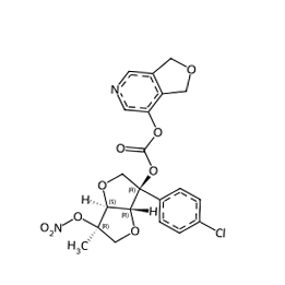 C[C@@]1(O[N+](=O)[O-])CO[C@@H]2[C@@H]1OC[C@]2(OC(=O)Oc1cncc2c1COC2)c1ccc(Cl)cc1